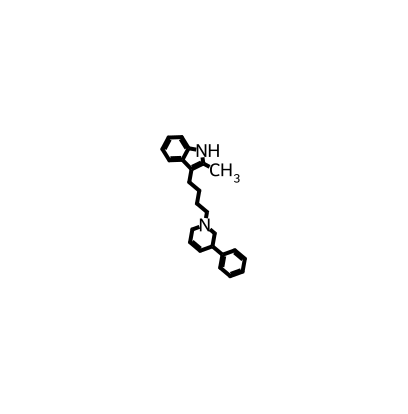 Cc1[nH]c2ccccc2c1CCCCN1CC=CC(c2ccccc2)C1